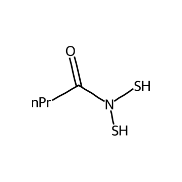 CCCC(=O)N(S)S